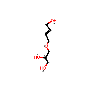 OCC=CCOCC(O)CO